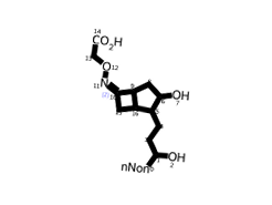 CCCCCCCCCC(O)CCC1C(O)CC2/C(=N\OCC(=O)O)CC21